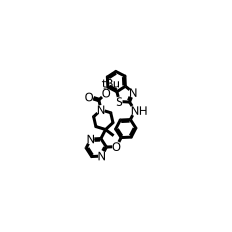 CC(C)(C)OC(=O)N1CCC(C)(c2nccnc2Oc2ccc(Nc3nc4ccccc4s3)cc2)CC1